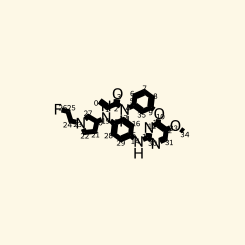 C=CC(=O)Nc1cccc(Oc2nc(Nc3ccc(NC4CCN(CCF)C4)cc3)ncc2OC)c1